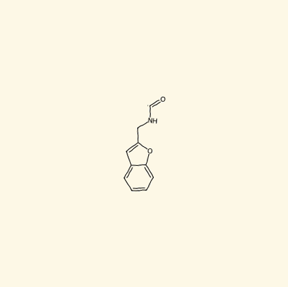 O=[C]NCc1cc2ccccc2o1